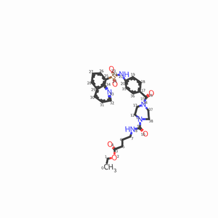 CCOC(=O)CCCNC(=O)N1CCN(C(=O)c2ccc(NS(=O)(=O)c3cccc4cccnc34)cc2)CC1